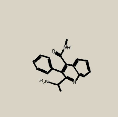 CNC(=O)c1c(-c2ccccc2)c(C(C)N)nc2ccccc12